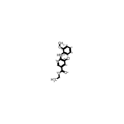 CCOC(=O)c1cnc(Nc2ccccc2OC)c(Cl)c1